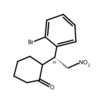 O=C1CCCCC1[C@@H](C[N+](=O)[O-])c1ccccc1Br